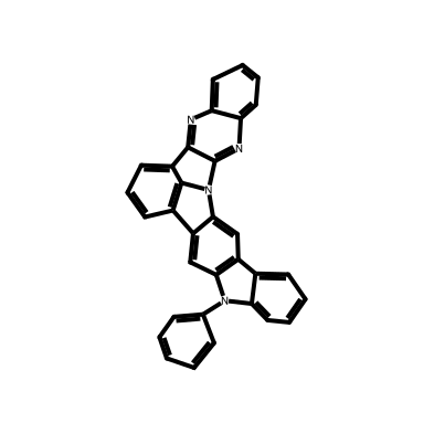 c1ccc(-n2c3ccccc3c3cc4c(cc32)c2cccc3c5nc6ccccc6nc5n4c23)cc1